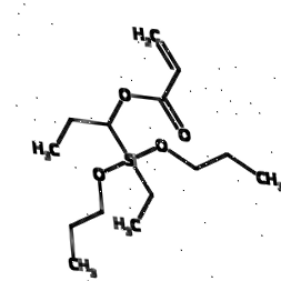 C=CC(=O)OC(CC)[Si](CC)(OCCC)OCCC